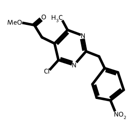 COC(=O)Cc1c(C)nc(Cc2ccc([N+](=O)[O-])cc2)nc1Cl